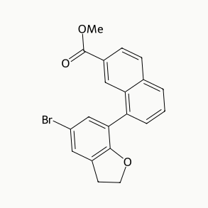 COC(=O)c1ccc2cccc(-c3cc(Br)cc4c3OCC4)c2c1